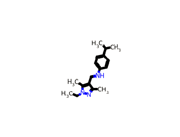 CCn1nc(C)c(CNc2ccc(C(C)C)cc2)c1C